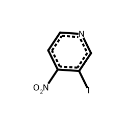 O=[N+]([O-])c1ccncc1I